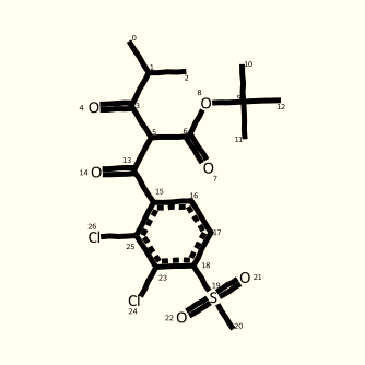 CC(C)C(=O)C(C(=O)OC(C)(C)C)C(=O)c1ccc(S(C)(=O)=O)c(Cl)c1Cl